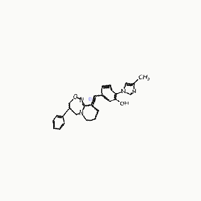 Cc1cn(-c2ccc(/C=C3\CCCN4CC(c5ccccc5)CON=C34)cc2O)cn1